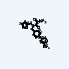 NC(=O)C(=O)N(Cc1ccc(-c2noc(C(F)(F)F)n2)cc1)Cc1ccco1